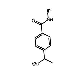 CC(C)NC(=O)c1ccc(C(C)C(C)(C)C)cc1